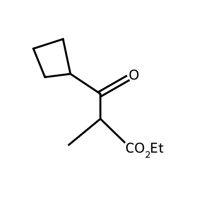 CCOC(=O)C(C)C(=O)C1CCC1